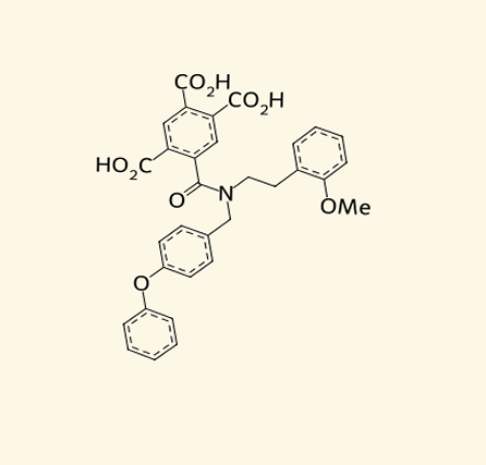 COc1ccccc1CCN(Cc1ccc(Oc2ccccc2)cc1)C(=O)c1cc(C(=O)O)c(C(=O)O)cc1C(=O)O